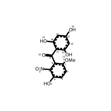 COc1ccc(O)c([N+](=O)[O-])c1C(=O)c1c(O)cc(O)cc1O